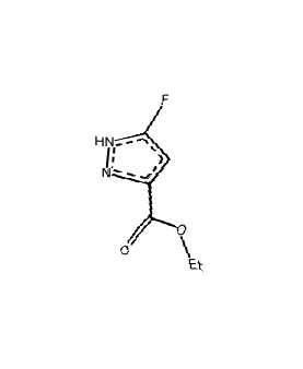 CCOC(=O)c1cc(F)[nH]n1